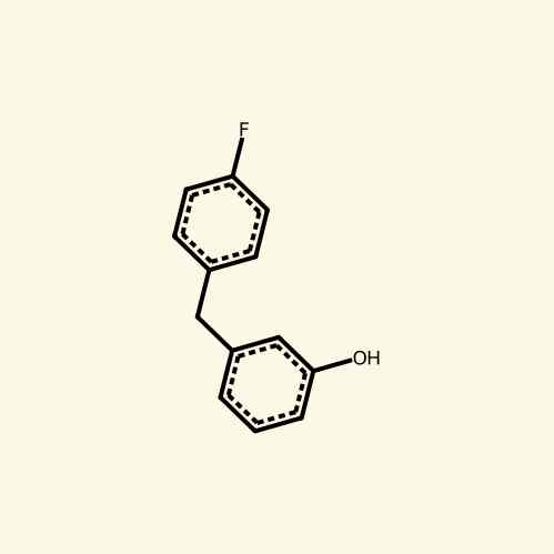 Oc1cccc(Cc2ccc(F)cc2)c1